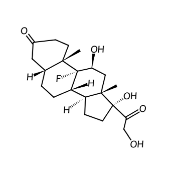 C[C@]12CCC(=O)C[C@H]1CC[C@H]1[C@@H]3CC[C@](O)(C(=O)CO)[C@@]3(C)C[C@H](O)[C@@]12F